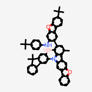 Cc1cc(-c2cc3c(cc2Nc2ccc(C(C)(C)C)cc2)oc2cc(C(C)(C)C)ccc23)c2c3c1c1cc4oc5ccccc5c4cc1n3-c1cc3c(cc1B2)C(C)(C)c1ccccc1-3